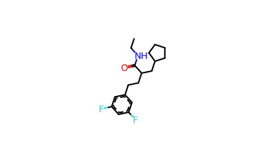 CCNC(=O)C(CCc1cc(F)cc(F)c1)CC1CCCC1